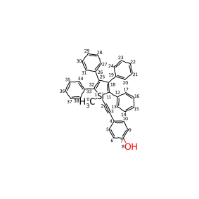 C[Si]1(C#Cc2ccc(O)cc2)C(c2ccccc2)=C(c2ccccc2)C(c2ccccc2)=C1c1ccccc1